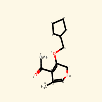 COC(=O)C1=C(OCC2CCCC2)COC=C1C